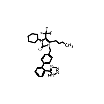 CCCCc1c(C(F)(F)F)n(C2CCCCC2)c(=O)n1Cc1ccc(-c2ccccc2-c2nnn[nH]2)cc1